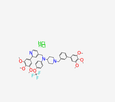 COc1cc(-c2cccc(CN3CCC(N(Cc4ccnc(-c5cc(OC)c(OC)c(OC)c5)c4)c4ccc(OC(F)(F)F)cc4)CC3)c2)cc(OC)c1OC.Cl.Cl